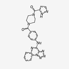 O=C(c1ccc(Nc2nc3ccccc3n3nnnc23)cc1)N1CCN(C(=O)c2ccn[nH]2)CC1